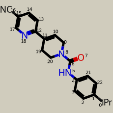 CC(C)c1ccc(NC(=O)N2CC=C(c3ccc(C#N)cn3)CC2)cc1